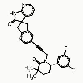 CC1(C)CC[C@@H](c2cc(F)cc(F)c2)N(CC#Cc2cnc3c(c2)C[C@@]2(C3)C(=O)Nc3ncccc32)C1=O